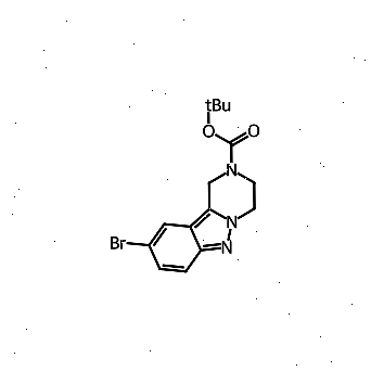 CC(C)(C)OC(=O)N1CCn2nc3ccc(Br)cc3c2C1